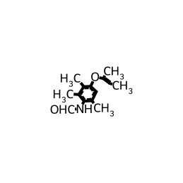 CC=C(C)Oc1cc(C)c(NC=O)c(C)c1C